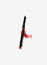 CCCCCCCCCCCCCCCCCC(=O)OC(CCCCCCCCCCCCCCCC)CN=CCO